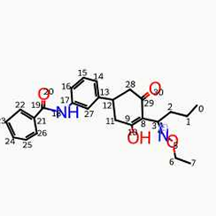 CCC/C(=N\OCC)C1=C(O)CC(c2cccc(NC(=O)c3ccccc3)c2)CC1=O